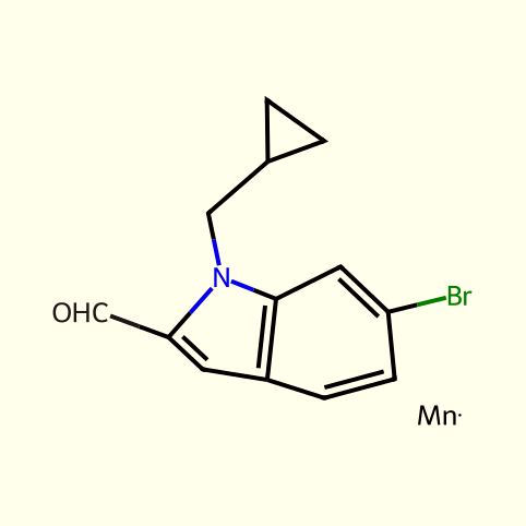 O=Cc1cc2ccc(Br)cc2n1CC1CC1.[Mn]